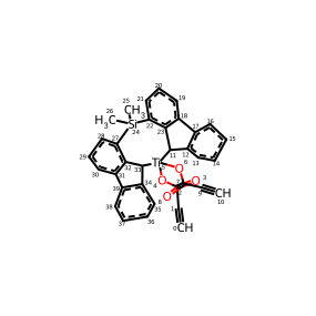 C#CC(=O)[O][Ti]1([O]C(=O)C#C)[CH]2c3ccccc3-c3cccc(c32)[Si](C)(C)c2cccc3c2[CH]1c1ccccc1-3